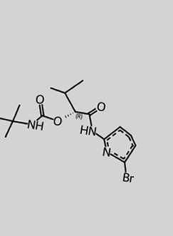 CC(C)[C@@H](OC(=O)NC(C)(C)C)C(=O)Nc1cccc(Br)n1